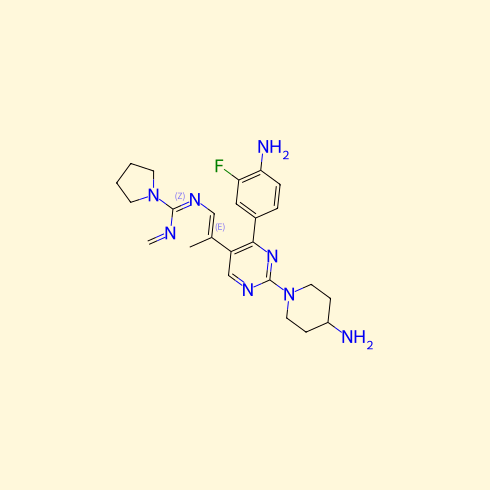 C=N/C(=N\C=C(/C)c1cnc(N2CCC(N)CC2)nc1-c1ccc(N)c(F)c1)N1CCCC1